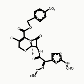 CCCCO/N=C(\C(=O)NC1C(=O)N2C(C(=O)OCc3ccc([N+](=O)[O-])cc3)=C(Cl)CS[C@H]12)c1csc(NC=O)n1